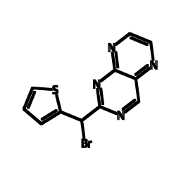 BrC(c1ncc2nccnc2n1)c1cccs1